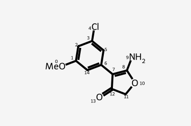 COc1cc(Cl)cc(C2=C(N)OCC2=O)c1